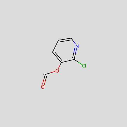 O=[C]Oc1cccnc1Cl